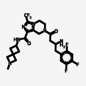 CN1CC2(CC(NC(=O)c3nc(C(F)(F)F)n4c3CN(C(=O)CC(N)Cc3cc(F)c(F)cc3F)CC4)C2)C1